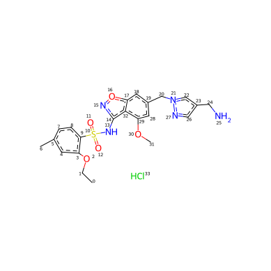 CCOc1cc(C)ccc1S(=O)(=O)Nc1noc2cc(Cn3cc(CN)cn3)cc(OC)c12.Cl